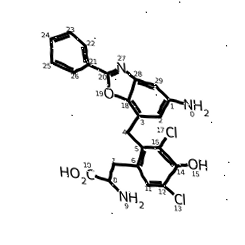 Nc1cc(Cc2c(CC(N)C(=O)O)cc(Cl)c(O)c2Cl)c2oc(-c3ccccc3)nc2c1